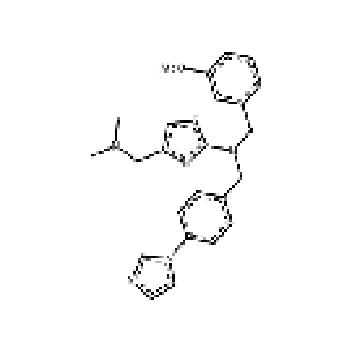 COc1cccc(CN(Cc2ccc(-n3ccnc3)cc2)c2nc(CN(C)C)cs2)c1